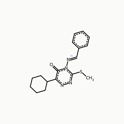 CSc1nnc(C2CCCCC2)c(=O)n1/N=C/c1ccccc1